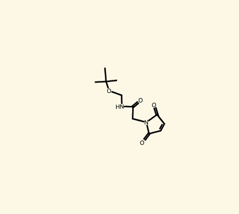 CC(C)(C)OCNC(=O)CN1C(=O)C=CC1=O